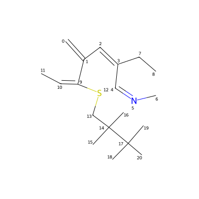 C=C(/C=C(\C=N/C)CC)/C(=C\C)SCC(C)(C)C(C)(C)C